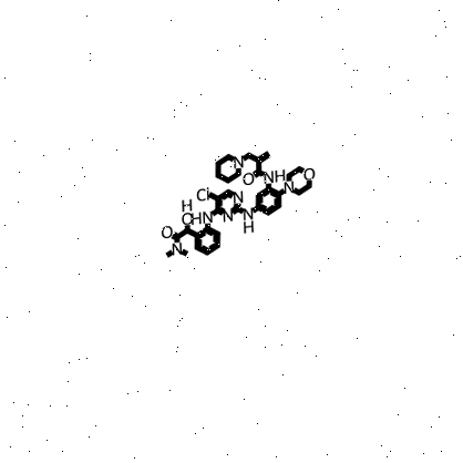 C=C(CN1CCCCC1)C(=O)Nc1cc(Nc2ncc(Cl)c(Nc3ccccc3C(O)C(=O)N(C)C)n2)ccc1N1CCOCC1